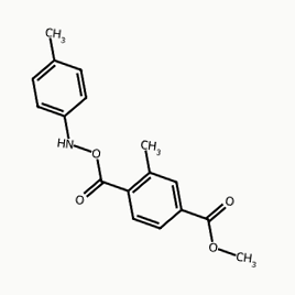 COC(=O)c1ccc(C(=O)ONc2ccc(C)cc2)c(C)c1